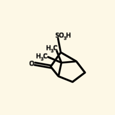 CC1(C)C2CCC1C(S(=O)(=O)O)C2=O